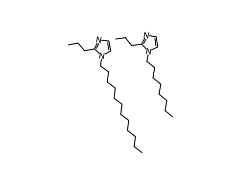 CCCCCCCCCCCCn1ccnc1CCC.CCCCCCCCn1ccnc1CCC